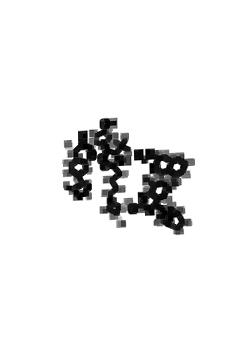 Cc1ncsc1-c1ccc([C@H](C)NC(=O)[C@@H]2C[C@@H](O)CN2C(=O)[C@@H](NC(=O)CCCCN2C[C@@H](C)[C@H]2COc2nc(N3CC4CCC(C3)N4)c3cnc(-c4nc(N)cc5cccc(F)c45)c(F)c3n2)C(C)(C)C)cc1